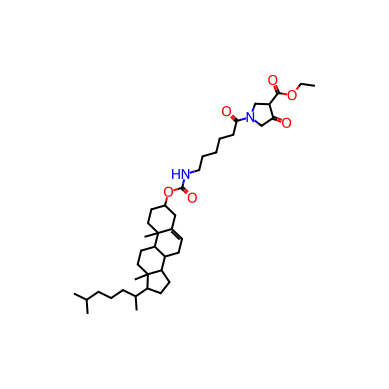 CCOC(=O)C1CN(C(=O)CCCCCNC(=O)OC2CCC3(C)C(=CCC4C3CCC3(C)C(C(C)CCCC(C)C)CCC43)C2)CC1=O